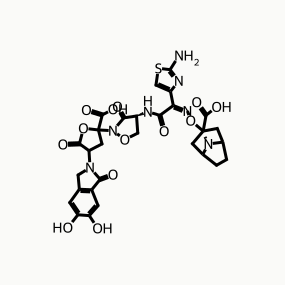 CN1C2CCC1CC(O/N=C(\C(=O)N[C@H]1CON(C3(C(=O)O)CC(N4Cc5cc(O)c(O)cc5C4=O)C(=O)O3)C1=O)c1csc(N)n1)(C(=O)O)C2